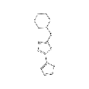 c1csc(-c2nnc(SC3CCCCC3)s2)c1